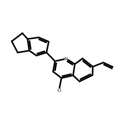 C=Cc1ccc2c(Cl)cc(-c3ccc4c(c3)CCC4)nc2c1